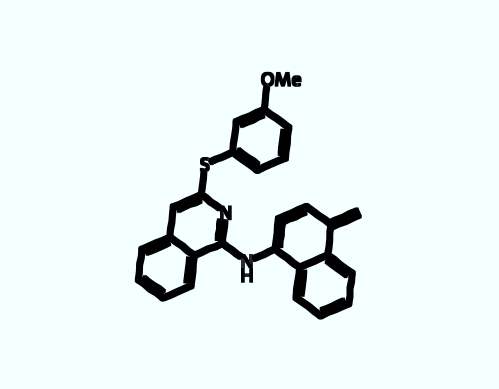 C=C1C=C=C(Nc2nc(Sc3cccc(OC)c3)cc3ccccc23)c2ccccc21